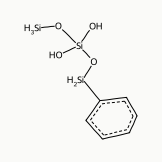 O[Si](O)(O[SiH3])O[SiH2]c1ccccc1